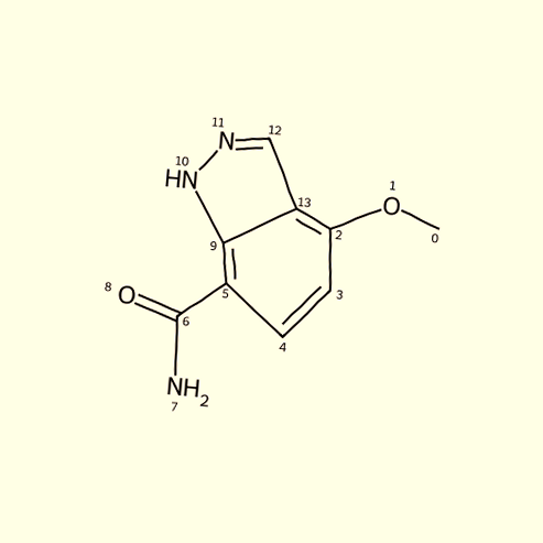 COc1ccc(C(N)=O)c2[nH]ncc12